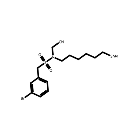 CSCCCCCCN(CC#N)S(=O)(=O)Cc1cccc(Br)c1